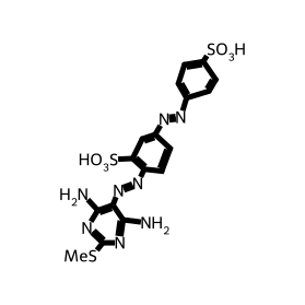 CSc1nc(N)c(/N=N/c2ccc(/N=N/c3ccc(S(=O)(=O)O)cc3)cc2S(=O)(=O)O)c(N)n1